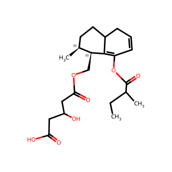 CCC(C)C(=O)OC1=C2C(CC=C1)CC[C@H](C)[C@@H]2COC(=O)CC(O)CC(=O)O